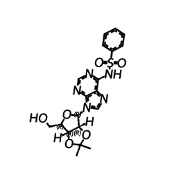 CC1(C)O[C@@H]2[C@H](O1)[C@@H](CO)O[C@H]2n1cnc2c(NS(=O)(=O)c3ccccc3)ncnc21